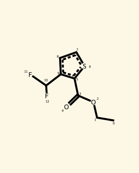 CCOC(=O)c1sccc1C(F)F